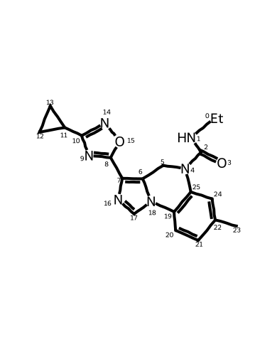 CCNC(=O)N1Cc2c(-c3nc(C4CC4)no3)ncn2-c2ccc(C)cc21